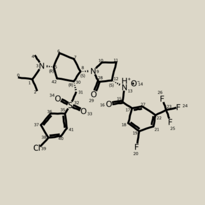 CC(C)N(C)[C@@H]1CC[C@H](N2CC[C@H]([NH+]([O-])C(=O)c3cc(F)cc(C(F)(F)F)c3)C2=O)[C@H](CS(=O)(=O)c2ccc(Cl)cc2)C1